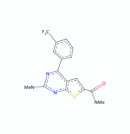 CNC(=O)c1cc2c(-c3cccc(C(F)(F)F)c3)nc(NC)nc2s1